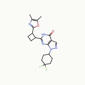 Cc1nc(C2CCC2c2nc3c(cnn3C3CCC(F)(F)CC3)c(=O)[nH]2)oc1C